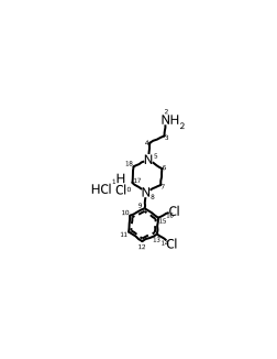 Cl.Cl.NCCN1CCN(c2cccc(Cl)c2Cl)CC1